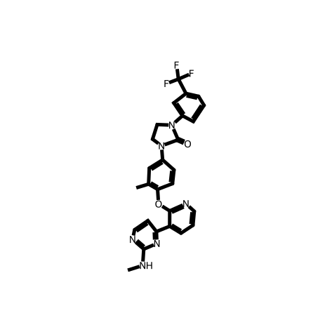 CNc1nccc(-c2cccnc2Oc2ccc(N3CCN(c4cccc(C(F)(F)F)c4)C3=O)cc2C)n1